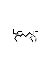 CC[Si](CC)(CC)CCCC[Si](OC)(OC)OC